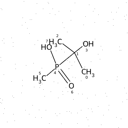 CC(C)(O)P(C)(=O)O